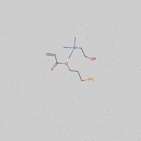 C=CC(=O)OCCCP.C[N+](C)(C)CCO